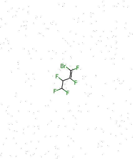 FC(Br)=C(F)C(F)C(F)F